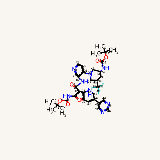 CC(C)(C)OC(=O)Nc1oc2c(c1C(=O)Nc1cnccc1N1C[C@@H](NC(=O)OC(C)(C)C)C[C@@H](C(F)(F)F)C1)NCC(c1cncnc1)=C2